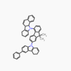 CC1(C)c2cc(-n3c4c(c5cc(-c6ccccc6)ccc53)CCC=C4)ccc2-c2c(N3C4=C(CCC=C4)C4C=Cc5ccccc5C43)cccc21